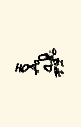 O=P([O-])([O-])O.O=[Si](O)F.[H+].[H+]